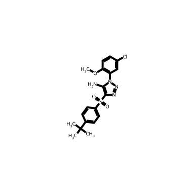 COc1ccc(Cl)cc1-n1nnc(S(=O)(=O)c2ccc(C(C)(C)C)cc2)c1N